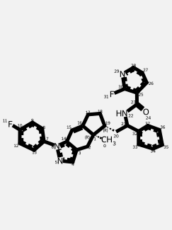 C[C@]12Cc3cnn(-c4ccc(F)cc4)c3C=C1CC[C@@H]2CC(NC(=O)c1cccnc1F)c1ccccc1